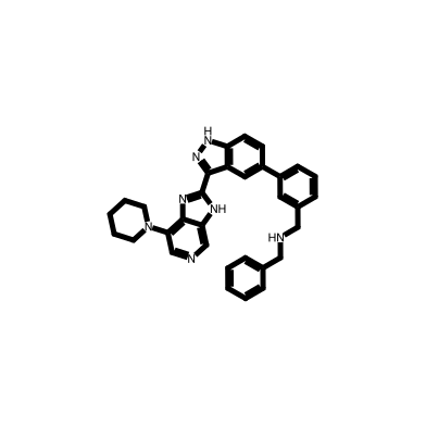 c1ccc(CNCc2cccc(-c3ccc4[nH]nc(-c5nc6c(N7CCCCC7)cncc6[nH]5)c4c3)c2)cc1